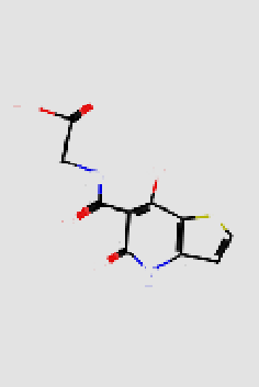 O=C(O)CNC(=O)c1c(O)c2sccc2[nH]c1=O